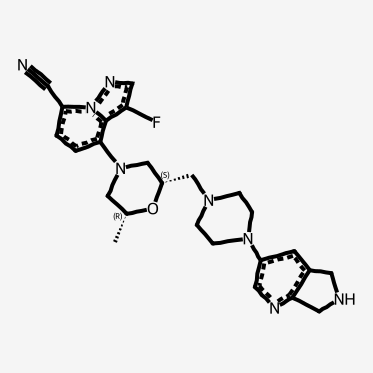 C[C@@H]1CN(c2ccc(C#N)n3ncc(F)c23)C[C@H](CN2CCN(c3cnc4c(c3)CNC4)CC2)O1